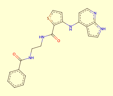 O=C(NCCNC(=O)c1sccc1Nc1ccnc2[nH]ccc12)c1ccccc1